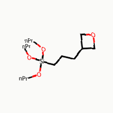 CCCO[Si](CCCC1COC1)(OCCC)OCCC